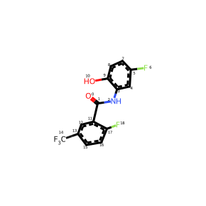 O=C(Nc1cc(F)ccc1O)c1cc(C(F)(F)F)ccc1F